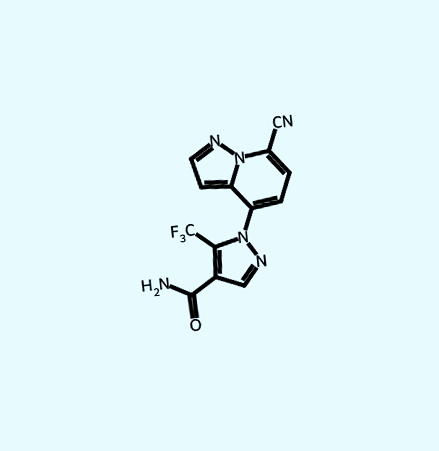 N#Cc1ccc(-n2ncc(C(N)=O)c2C(F)(F)F)c2ccnn12